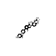 O=C1CCC(N2Cc3c(ccc(C4CCN(C5CCNCC5(F)F)CC4)c3F)C2=O)C(=O)N1OC(=O)C(F)(F)F